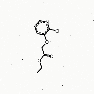 CCOC(=O)COc1cccnc1Cl